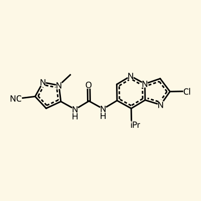 CC(C)c1c(NC(=O)Nc2cc(C#N)nn2C)cnn2cc(Cl)nc12